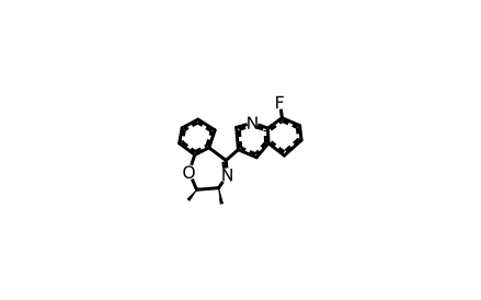 C[C@@H]1N=C(c2cnc3c(F)cccc3c2)c2ccccc2O[C@@H]1C